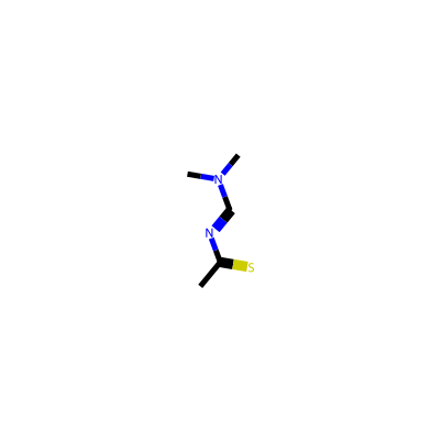 CC(=S)/N=C/N(C)C